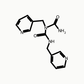 NC(=O)N(Cc1cccnc1)C(=O)NCc1cccnc1